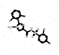 Cn1cc(C(=O)NS(=O)(=O)c2ccc(F)cc2Br)nc1-c1c(F)cccc1F